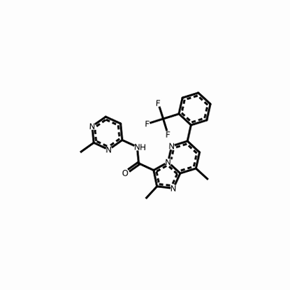 Cc1nccc(NC(=O)c2c(C)nc3c(C)cc(-c4ccccc4C(F)(F)F)nn23)n1